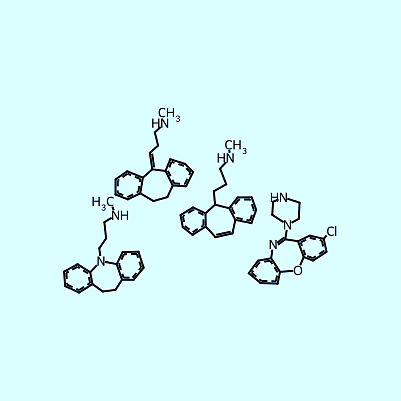 CNCCC=C1c2ccccc2CCc2ccccc21.CNCCCC1c2ccccc2C=Cc2ccccc21.CNCCCN1c2ccccc2CCc2ccccc21.Clc1ccc2c(c1)C(N1CCNCC1)=Nc1ccccc1O2